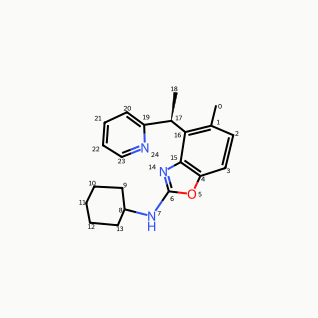 Cc1ccc2oc(NC3CCCCC3)nc2c1[C@H](C)c1ccccn1